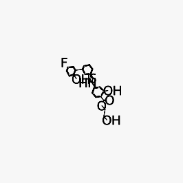 O=C(OCCO)c1ccc(NSc2cccc(-c3cc(F)ccc3O)c2)cc1O